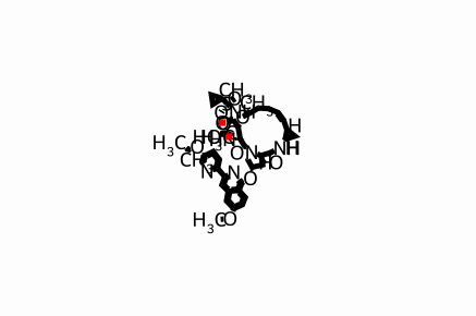 CC[C@]1(C(=O)NS(=O)(=O)C2(C)CC2)O[C@H](C)CC/C=C\[C@@H]2C[C@H]2NC(=O)[C@@H]2C[C@@H](Oc3nc(-c4ccc(OC(C)C)cn4)cc4cc(OC)ccc34)CN2C(=O)[C@H]1NC(=O)O